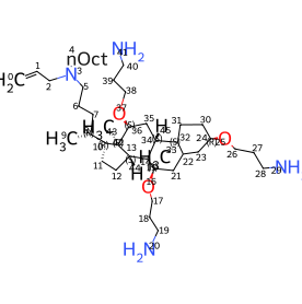 C=CCN(CCCCCCCC)CCC[C@@H](C)[C@H]1CC[C@H]2C3[C@H](OCCCN)CC4C[C@H](OCCCN)CC[C@]4(C)[C@H]3C[C@H](OCCCN)[C@]12C